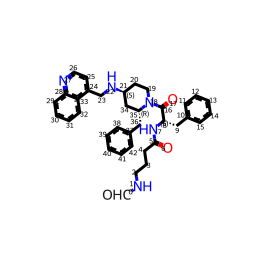 O=CNCCCC(=O)N[C@@H](Cc1ccccc1)C(=O)N1CC[C@H](NCc2ccnc3ccccc23)C[C@H]1Cc1ccccc1